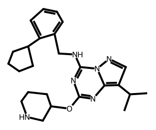 CC(C)c1cnn2c(NCc3ccccc3C3CCCC3)nc(OC3CCCNC3)nc12